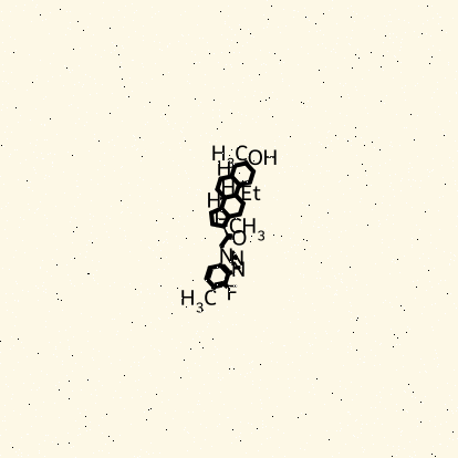 CC[C@]12CC[C@@](C)(O)C[C@H]1CC[C@H]1[C@@H]3CC[C@H](C(=O)Cn4nnc5c(F)c(C)ccc54)[C@@]3(C)CC[C@@H]12